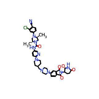 C[C@@H]1CN(c2ccc(C#N)c(Cl)c2)[C@@H](C)CN1C(=O)Nc1ccc(N2CCC(CN3CCN(c4ccc5c(c4)C(=O)N(C4CCC(=O)NC4=O)C5=O)CC3)CC2)nc1